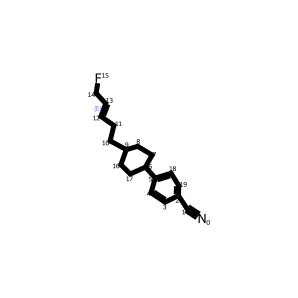 N#Cc1ccc(C2CCC(CC/C=C/CF)CC2)cc1